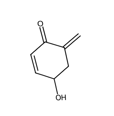 C=C1CC(O)C=CC1=O